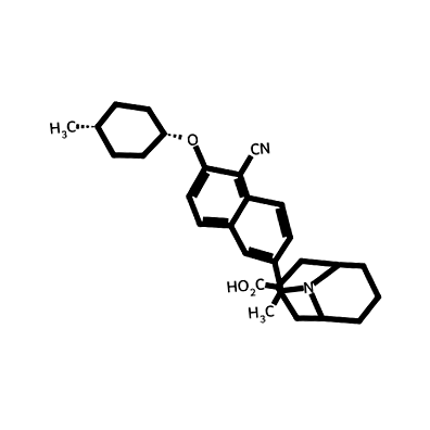 CC(c1ccc2c(C#N)c(O[C@H]3CC[C@@H](C)CC3)ccc2c1)N1C2CCCC1CC(C(=O)O)C2